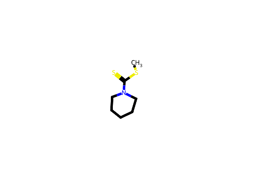 CSC(=S)N1CCCCC1